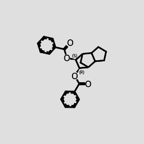 O=C(O[C@@H]1C2CC(C3CCCC32)[C@@H]1OC(=O)c1ccccc1)c1ccccc1